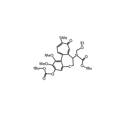 CCOCN(C(=O)OC(C)(C)C)C1CCc2cc(OC(=O)OC(C)(C)C)c(OC)c(OC)c2-c2ccc(SC)c(=O)cc21